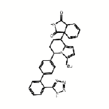 CCCCc1ccc2n1C(c1ccc(-c3ccccc3-c3nnn[nH]3)cc1)CCC2C12C=CC=CC1C(=O)NC2=O